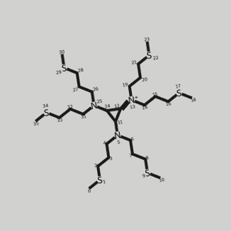 CSCCCN(CCCSC)C1C(=[N+](CCCSC)CCCSC)C1N(CCCSC)CCCSC